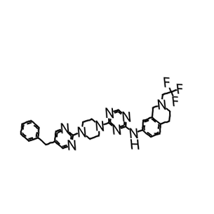 FC(F)(F)CN1CCc2ccc(Nc3ncnc(N4CCN(c5ncc(Cc6ccccc6)cn5)CC4)n3)cc2C1